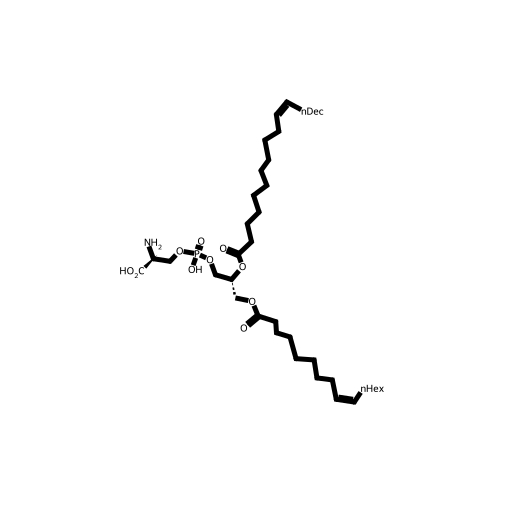 CCCCCC/C=C\CCCCCCCC(=O)OC[C@H](COP(=O)(O)OC[C@H](N)C(=O)O)OC(=O)CCCCCCCCC/C=C\CCCCCCCCCC